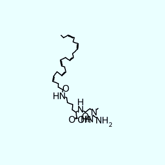 CC/C=C\C/C=C\C/C=C\C/C=C\C/C=C\C/C=C\CCC(=O)NCCCCC(NC(=O)CN(C)C(=N)N)C(=O)O